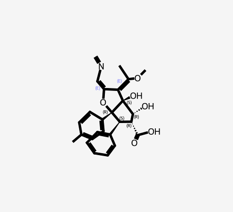 C=N/C=C1/O[C@@]2(c3ccc(C)cc3)[C@H](c3ccccc3)[C@@H](C(=O)O)[C@@H](O)[C@@]2(O)/C1=C(/C)OC